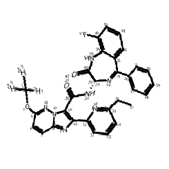 [2H]C([2H])([2H])Oc1ccc2nc(-c3cccc(CC)n3)c(C(=O)N[C@H]3N=C(c4ccccc4)c4cccc(F)c4NC3=O)n2n1